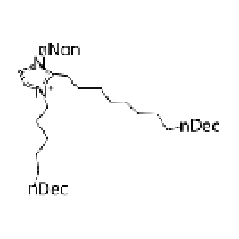 CCCCCCCCCCCCCCCCCCc1n(CCCCCCCCC)cc[n+]1CCCCCCCCCCCCCCC